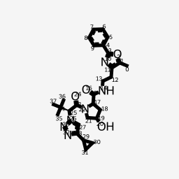 Cc1oc(-c2ccccc2)nc1CCNC(=O)C1CC(O)CN1C(=O)[C@@H](n1cc(C2CC2)nn1)C(C)(C)C